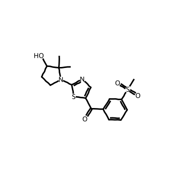 CC1(C)C(O)CCN1c1ncc(C(=O)c2cccc(S(C)(=O)=O)c2)s1